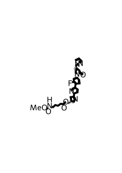 COC(=O)NCCCCC(=O)OC[C@H]1CN=C(c2ccc(-c3ccc(N4C[C@H](Cn5cccn5)CC4=O)cc3F)cn2)C1